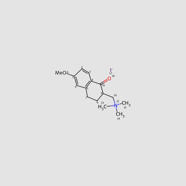 COc1ccc2c(c1)CCC(C[N+](C)(C)C)C2=O.[I-]